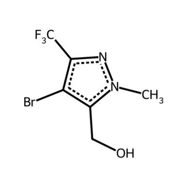 Cn1nc(C(F)(F)F)c(Br)c1CO